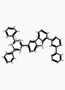 c1ccc(-c2cccc(-c3cccc4c3sc3ccc(-c5nc(-c6ccccc6)nc(-c6ccccc6)n5)cc34)c2)cc1